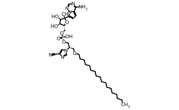 CCCCCCCCCCCCCCCCCCOC[C@H](COP(=O)(O)OC[C@H]1O[C@@](C)(c2ccc3c(N)ncnn23)[C@H](O)[C@@H]1O)n1cnc(C#N)c1